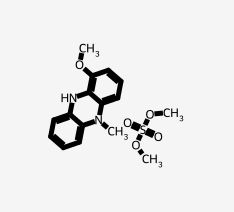 COS(=O)(=O)OC.COc1cccc2c1Nc1ccccc1N2C